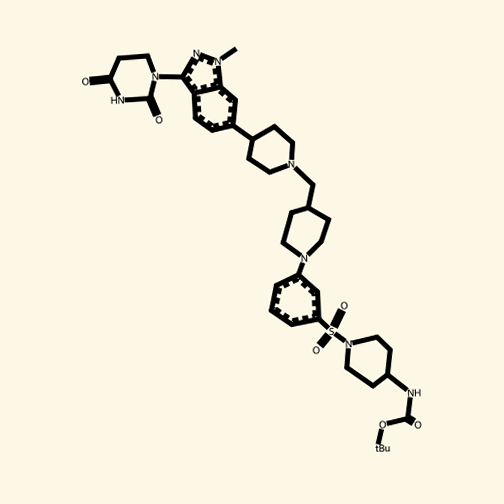 Cn1nc(N2CCC(=O)NC2=O)c2ccc(C3CCN(CC4CCN(c5cccc(S(=O)(=O)N6CCC(NC(=O)OC(C)(C)C)CC6)c5)CC4)CC3)cc21